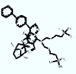 C=Cc1c([C@H]2C[C@H]3CC[C@@H](C2)N3C(=O)OC(C)(C)C)nc2c(-c3ccc(-c4ccccc4)nc3)cnn2c1N(COCC[Si](C)(C)C)COCC[Si](C)(C)C